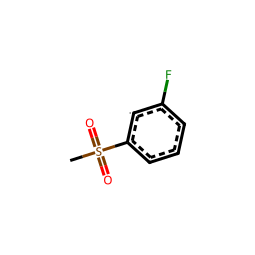 CS(=O)(=O)c1[c]c(F)ccc1